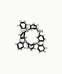 C1=CC(N2c3cccc(c3)Nc3cccc(c3)N(c3ccccc3)c3cccc(c3)N(c3ccccc3)c3cccc2c3)=CCC1